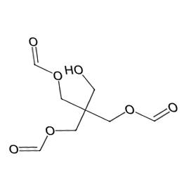 O=COCC(CO)(COC=O)COC=O